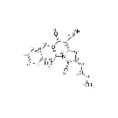 CCOC=c1sc(=C(C#N)C(=O)OCc2ccccc2)n(CC)c1=O